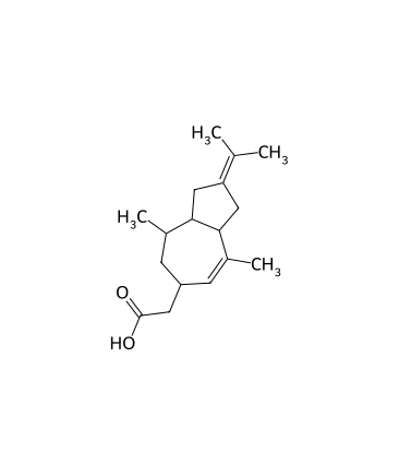 CC1=CC(CC(=O)O)CC(C)C2CC(=C(C)C)CC12